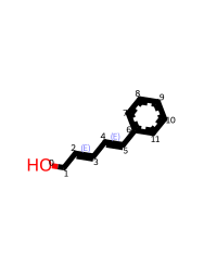 OC/C=C/C=C/c1ccccc1